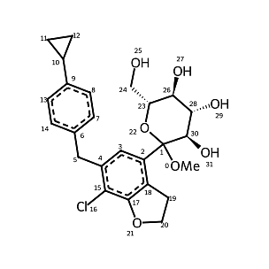 COC1(c2cc(Cc3ccc(C4CC4)cc3)c(Cl)c3c2CCO3)O[C@H](CO)[C@@H](O)[C@H](O)[C@H]1O